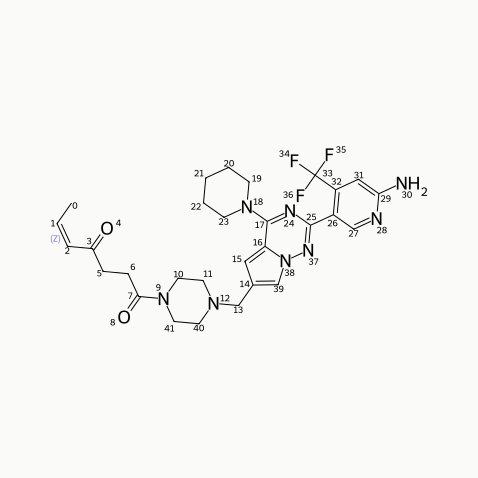 C/C=C\C(=O)CCC(=O)N1CCN(Cc2cc3c(N4CCCCC4)nc(-c4cnc(N)cc4C(F)(F)F)nn3c2)CC1